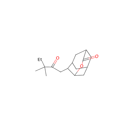 CCC(C)(C)C(=O)CC1C2CC3CC(C2)C(=O)OC1C3